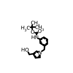 CC(C)(C)OC(=O)Nc1cccc(Cn2ccc(CO)c2)c1